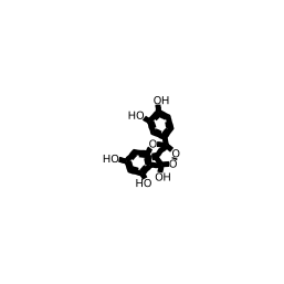 O=C1C2(O)OOC1(c1ccc(O)c(O)c1)Oc1cc(O)cc(O)c12